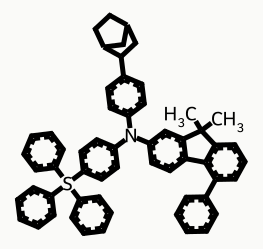 CC1(C)c2cc(N(c3ccc(C4CC5CCC4C5)cc3)c3ccc(S(c4ccccc4)(c4ccccc4)c4ccccc4)cc3)ccc2-c2c(-c3ccccc3)cccc21